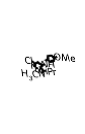 COc1ccc(CNc2cc(Cl)nn3c(C)nc(C(C)C)c23)cc1